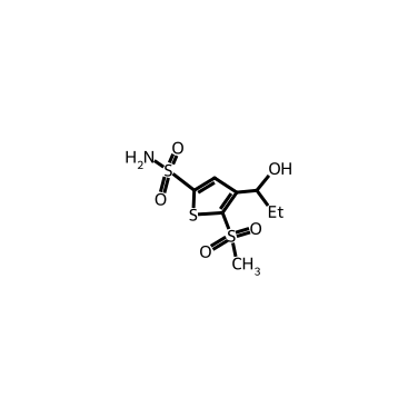 CCC(O)c1cc(S(N)(=O)=O)sc1S(C)(=O)=O